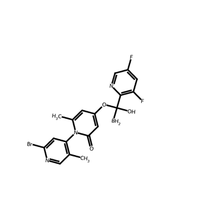 BC(O)(Oc1cc(C)n(-c2cc(Br)ncc2C)c(=O)c1)c1ncc(F)cc1F